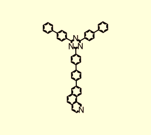 c1ccc(-c2ccc(-c3nc(-c4ccc(-c5ccccc5)cc4)nc(-c4ccc(-c5ccc(-c6ccc7c(ccc8ccncc87)c6)cc5)cc4)n3)cc2)cc1